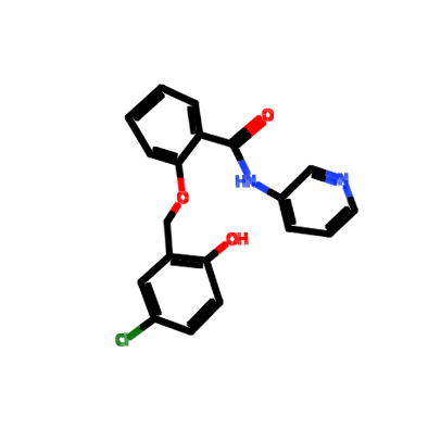 O=C(Nc1cccnc1)c1ccccc1OCc1cc(Cl)ccc1O